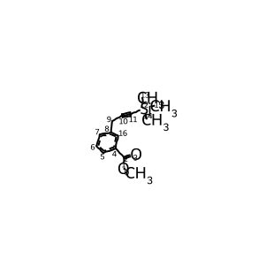 COC(=O)c1cccc(CC#C[Si](C)(C)C)c1